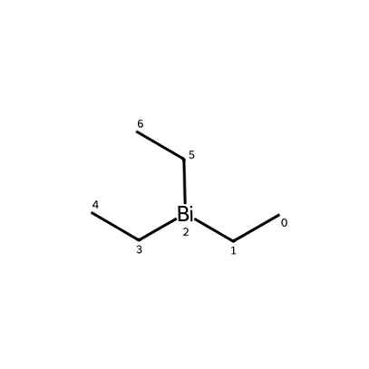 C[CH2][Bi]([CH2]C)[CH2]C